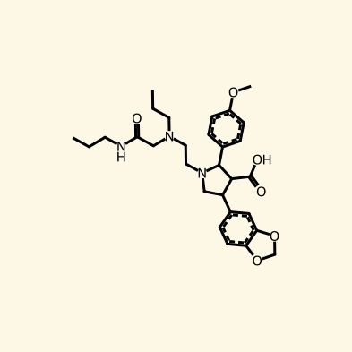 CCCNC(=O)CN(CCC)CCN1CC(c2ccc3c(c2)OCO3)C(C(=O)O)C1c1ccc(OC)cc1